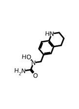 NC(=O)N(O)Cc1ccc2c(c1)CCCN2